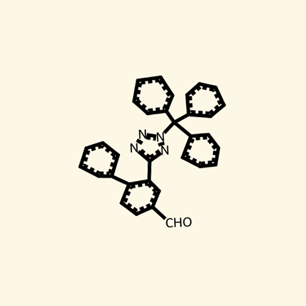 O=Cc1ccc(-c2ccccc2)c(-c2nnn(C(c3ccccc3)(c3ccccc3)c3ccccc3)n2)c1